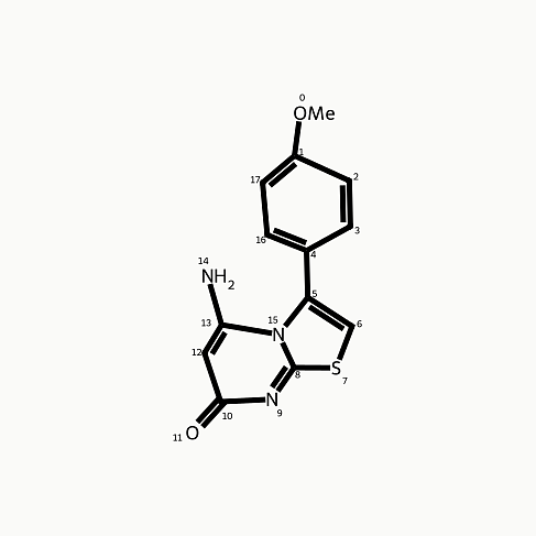 COc1ccc(-c2csc3nc(=O)cc(N)n23)cc1